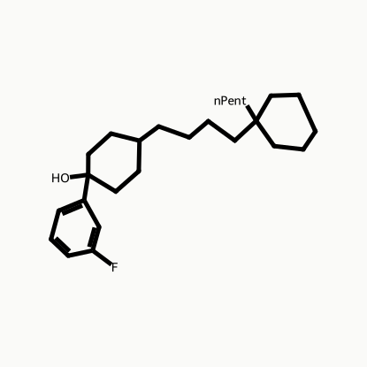 CCCCCC1(CCCCC2CCC(O)(c3cccc(F)c3)CC2)CCCCC1